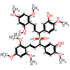 COc1cc(OC)c(/C=C/C(c2ccc(OC)c(O)c2)S(=O)(=O)C(/C=C/c2c(OC)cc(OC)cc2OC)c2ccc(OC)c(O)c2)c(OC)c1